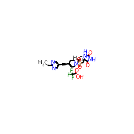 CCc1ncc(C#CC2=CCN(S(=O)(=O)C[C@@]3(C)NC(=O)NC3=O)CC2)cn1.O=C(O)C(F)(F)F